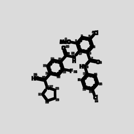 COc1cc(Cl)cc(C(=O)Nc2ccc(Cl)cc2)c1NC(=O)c1ccc(C(=N)N2CCCC2)cc1F